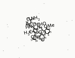 COc1ccccc1C(CN(C=O)c1sc(-c2ncco2)c(C)c1C(=O)NC1(CC(N)=O)CC1)OC1CCOCC1